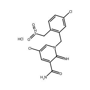 Cl.N=c1c(C(N)=O)cc(Cl)cn1Cc1cc(Cl)ccc1C[SH](=O)=O